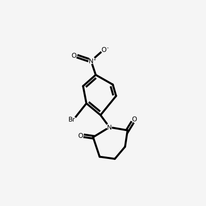 O=C1CCCC(=O)N1c1ccc([N+](=O)[O-])cc1Br